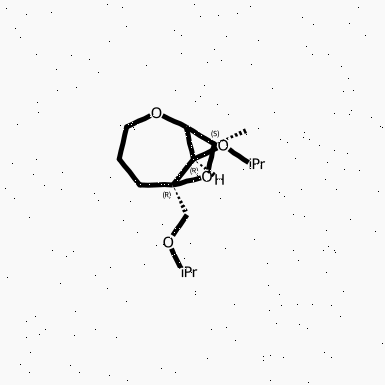 CC(C)OC[C@@]12CCCOC([C@H](C)O1)[C@H]2OC(C)C